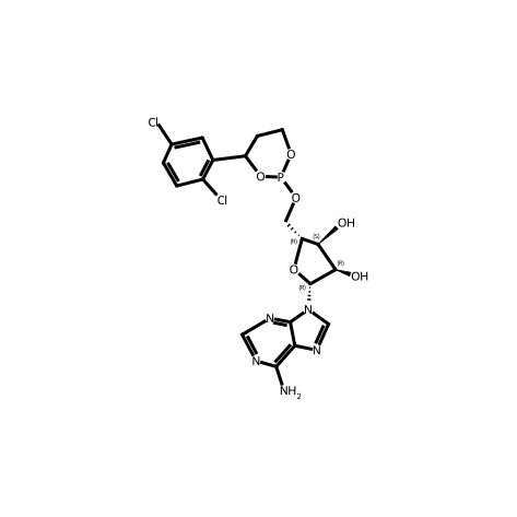 Nc1ncnc2c1ncn2[C@@H]1O[C@H](COP2OCCC(c3cc(Cl)ccc3Cl)O2)[C@@H](O)[C@H]1O